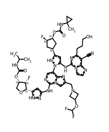 CC(C)NC(=O)O[C@H]1CO[C@@H](c2cc(Nc3ncc(-[n+]4[nH]c([C@H]5C[C@@H](F)[C@@H](OC(=O)NC6(C)CC6)C5)cc4Nc4nc(CCCO)c(C#N)c5nccn45)c4nc(CN5CC(OC(F)F)C5)cn34)n[nH]2)[C@H]1F